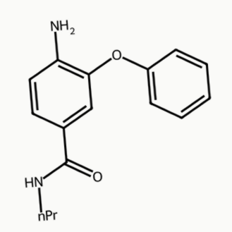 CCCNC(=O)c1ccc(N)c(Oc2ccccc2)c1